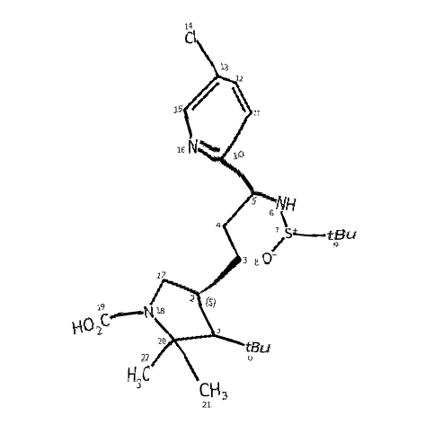 CC(C)(C)C1[C@H](CCC(N[S+]([O-])C(C)(C)C)c2ccc(Cl)cn2)CN(C(=O)O)C1(C)C